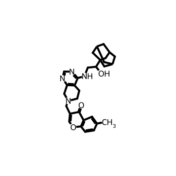 Cc1ccc2occ(CN3CCc4c(ncnc4NCC(O)C45CC6CC(CC(C6)C4)C5)C3)c(=O)c2c1